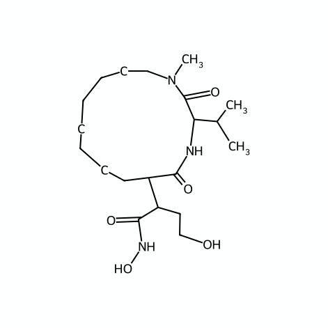 CC(C)C1NC(=O)C(C(CCO)C(=O)NO)CCCCCCCCN(C)C1=O